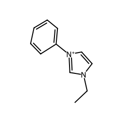 CCn1cc[n+](-c2ccccc2)c1